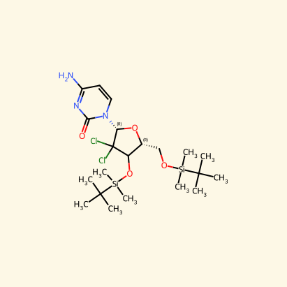 CC(C)(C)[Si](C)(C)OC[C@H]1O[C@@H](n2ccc(N)nc2=O)C(Cl)(Cl)C1O[Si](C)(C)C(C)(C)C